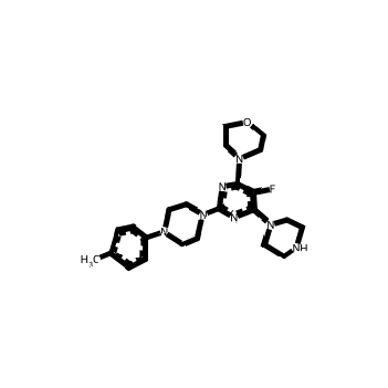 Cc1ccc(N2CCN(c3nc(N4CCNCC4)c(F)c(N4CCOCC4)n3)CC2)cc1